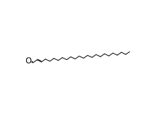 CCCCCCCCCCCCCCCCCCCCCC=CC=O